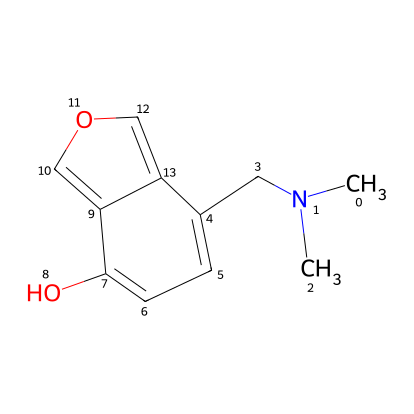 CN(C)Cc1ccc(O)c2cocc12